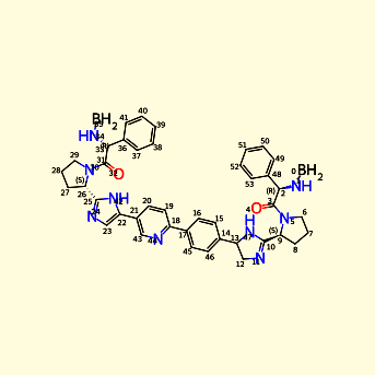 BN[C@@H](C(=O)N1CCC[C@H]1C1=NCC(c2ccc(-c3ccc(-c4cnc([C@@H]5CCCN5C(=O)[C@H](NB)c5ccccc5)[nH]4)cn3)cc2)N1)c1ccccc1